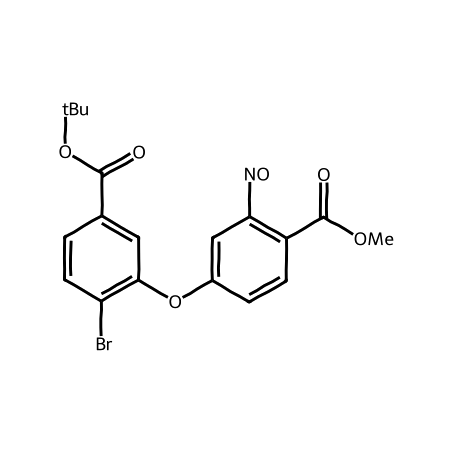 COC(=O)c1ccc(Oc2cc(C(=O)OC(C)(C)C)ccc2Br)cc1N=O